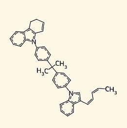 C/C=C\C=C/c1cn(-c2ccc(C(C)(C)c3ccc(-n4c5c(c6ccccc64)CCC=C5)cc3)cc2)c2ccccc12